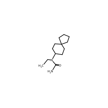 CCN(C(N)=O)C1CCC2(CCCC2)CC1